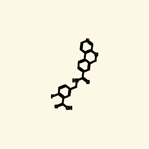 O=C(NCc1ccc(F)c(C(=O)O)c1)c1ccc2c(c1)COc1cnccc1-2